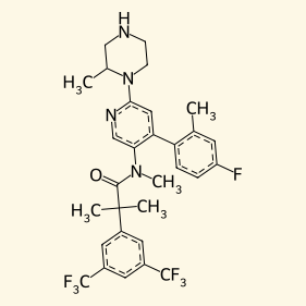 Cc1cc(F)ccc1-c1cc(N2CCNCC2C)ncc1N(C)C(=O)C(C)(C)c1cc(C(F)(F)F)cc(C(F)(F)F)c1